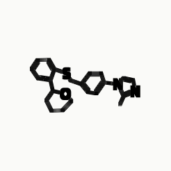 Cc1nccn1-c1ccc(CSc2ccccc2C2CCCCO2)cc1